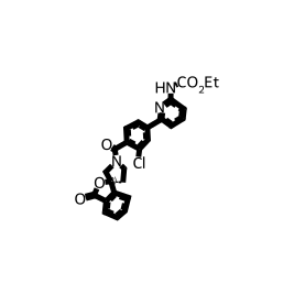 CCOC(=O)Nc1cccc(-c2ccc(C(=O)N3CC[C@@]4(C3)OC(=O)c3ccccc34)c(Cl)c2)n1